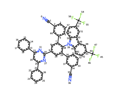 N#Cc1cccc(-c2cc(-c3nc(-c4ccccc4)cc(-c4ccccc4)n3)cc(-c3cccc(C#N)c3)c2-n2c3ccc(C(F)(F)F)cc3c3cc(C(F)(F)F)ccc32)c1